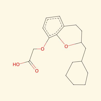 O=C(O)COc1cccc2c1OC(CC1CCCCC1)CC2